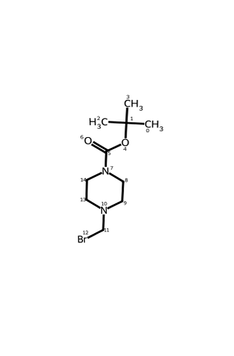 CC(C)(C)OC(=O)N1CCN(CBr)CC1